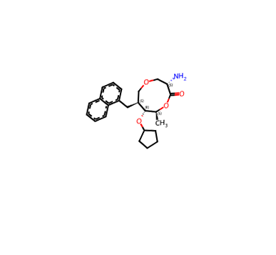 C[C@@H]1OC(=O)[C@@H](N)COC[C@H](Cc2cccc3ccccc23)[C@H]1OC1CCCC1